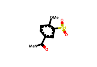 CNC(=O)c1ccc(OC)c([SH](=O)=O)c1